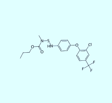 CCCOC(=O)N(C)SNc1ccc(Oc2ccc(C(F)(F)F)cc2Cl)cc1